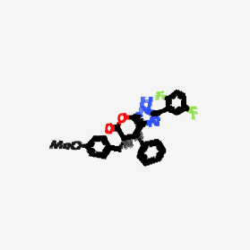 COc1ccc(C[C@@H]2C(=O)Oc3[nH]c(-c4cc(F)ccc4F)nc3[C@@H]2c2ccccc2)cc1